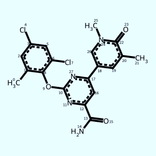 Cc1cc(Cl)cc(Cl)c1Oc1nc(C(N)=O)cc(-c2cc(C)c(=O)n(C)c2)n1